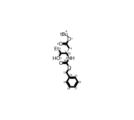 CCC(O)[C@H](CC(=O)OC(C)(C)C)NC(=O)OCc1ccccc1